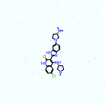 CN1CC[C@H](Nc2c(-c3nc4ccc(N5CC[C@@H](N(C)C)C5)cc4[nH]3)c(=O)[nH]c3ccc(Cl)cc23)C1